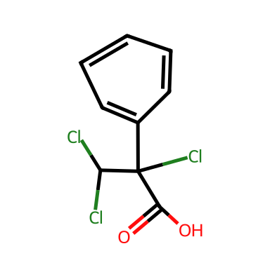 O=C(O)C(Cl)(c1ccccc1)C(Cl)Cl